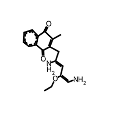 CCOC(/C=C(\N)CC1=C(C)C(=O)c2ccccc2C1=O)=C/N